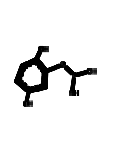 Oc1ccc(O)c(OP(O)O)c1